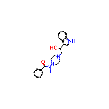 O=C(NN1CCN(CC(O)c2c[nH]c3ccccc23)CC1)c1ccccc1